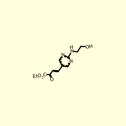 CCOC(=O)C(=O)/C=C/c1cnc(NCCO)nc1